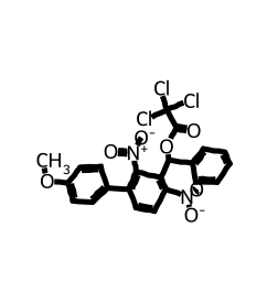 COc1ccc(-c2ccc([N+](=O)[O-])c(C(OC(=O)C(Cl)(Cl)Cl)c3ccccc3)c2[N+](=O)[O-])cc1